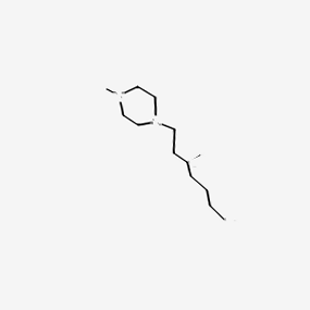 CC(C)CCC[C@H](O)CCN1CCN(C)CC1